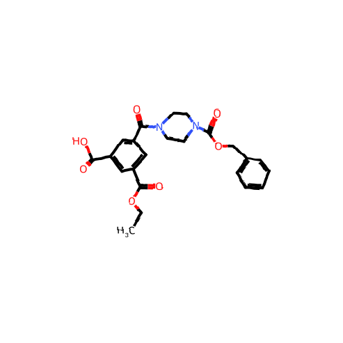 CCOC(=O)c1cc(C(=O)O)cc(C(=O)N2CCN(C(=O)OCc3ccccc3)CC2)c1